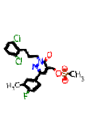 Cc1cc(-c2cc(COS(C)(=O)=O)c(=O)n(CCCc3c(Cl)cccc3Cl)n2)ccc1F